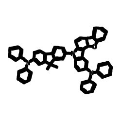 CC1(C)c2cc(N(c3ccccc3)c3ccccc3)ccc2-c2ccc(-n3c4c(c5cc(N(c6ccccc6)c6ccccc6)ccc53)C3Oc5ccccc5C3C=C4)cc21